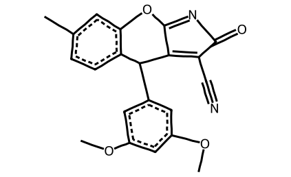 COc1cc(OC)cc(C2C3=C(C#N)C(=O)N=C3Oc3cc(C)ccc32)c1